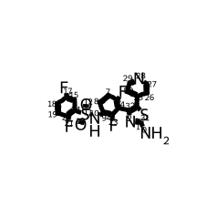 Nc1nc(-c2c(F)ccc(NS(=O)(=O)c3cc(F)ccc3F)c2F)c(-c2ccncc2)s1